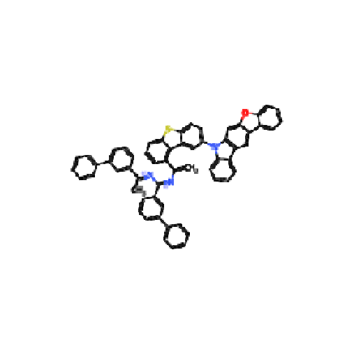 C=C(/N=C(\N=C(/C)c1cccc(-c2ccccc2)c1)c1cccc(-c2ccccc2)c1)c1cccc2sc3ccc(-n4c5ccccc5c5cc6c(cc54)oc4ccccc46)cc3c12